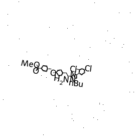 CCCCn1cc(-c2ccc(Cl)cc2Cl)nc1[C@@H](N)Cc1ccc(OCc2ccc(C(=O)OC)cc2)cc1